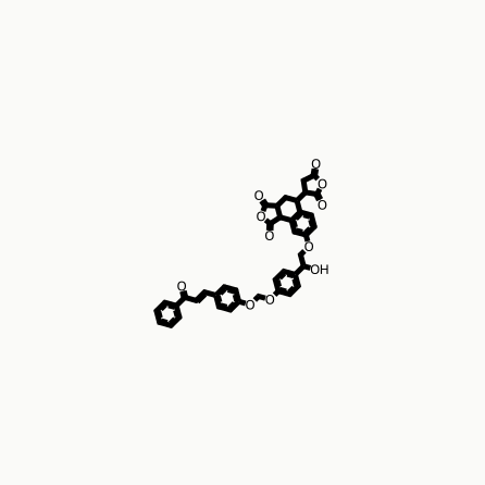 O=C1CC(C2CC3C(=O)OC(=O)C3c3cc(OCC(O)c4ccc(OCOc5ccc(/C=C/C(=O)c6ccccc6)cc5)cc4)ccc32)C(=O)O1